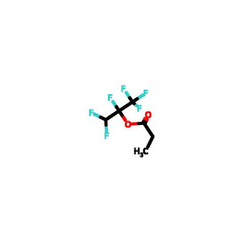 CCC(=O)OC(F)(C(F)F)C(F)(F)F